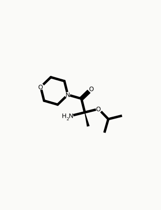 CC(C)O[C@](C)(N)C(=O)N1CCOCC1